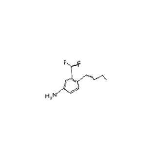 CCCCc1ccc(N)cc1C(F)F